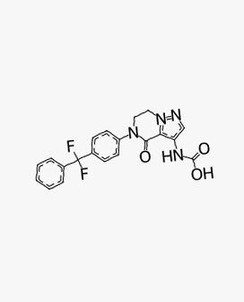 O=C(O)Nc1cnn2c1C(=O)N(c1ccc(C(F)(F)c3ccccc3)cc1)CC2